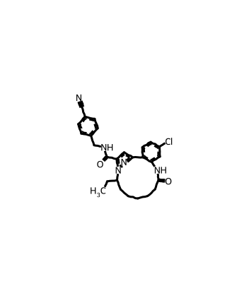 CCC1CCCCCC(=O)Nc2cc(Cl)ccc2-c2cc(C(=O)NCc3ccc(C#N)cc3)n1n2